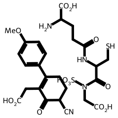 COc1ccc(C2=C(CC(=O)O)C(=O)C(C#N)CC2)cc1.NC(CCC(=O)NC(CS)C(=O)N(CC(=O)O)S(=O)(=O)O)C(=O)O